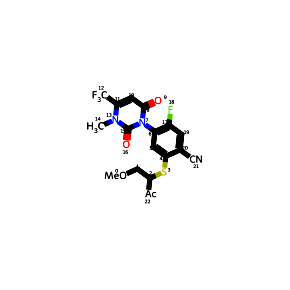 COCC(Sc1cc(-n2c(=O)cc(C(F)(F)F)n(C)c2=O)c(F)cc1C#N)C(C)=O